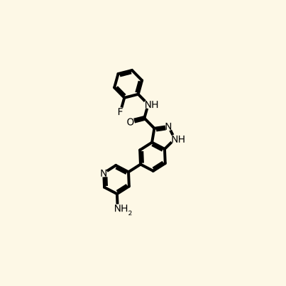 Nc1cncc(-c2ccc3[nH]nc(C(=O)Nc4ccccc4F)c3c2)c1